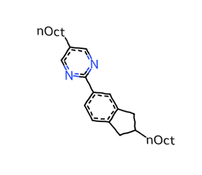 CCCCCCCCc1cnc(-c2ccc3c(c2)CC(CCCCCCCC)C3)nc1